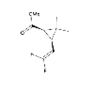 COC(=O)[C@@H]1[C@H](C=C(F)F)C1(C)C